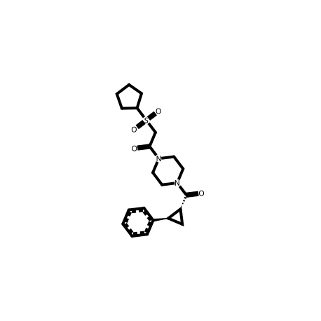 O=C(CS(=O)(=O)C1CCCC1)N1CCN(C(=O)[C@@H]2C[C@H]2c2ccccc2)CC1